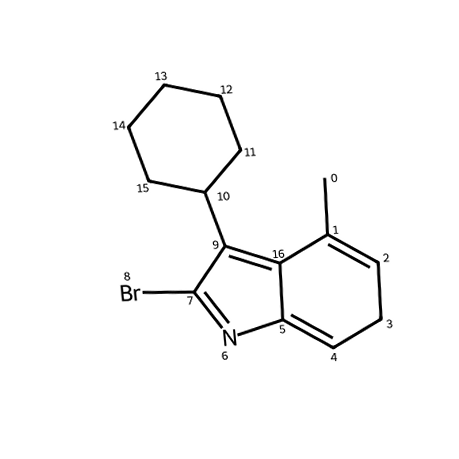 CC1=CCC=C2N=C(Br)C(C3CCCCC3)=C12